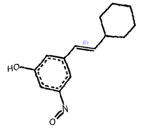 O=Nc1cc(O)cc(/C=C/C2CCCCC2)c1